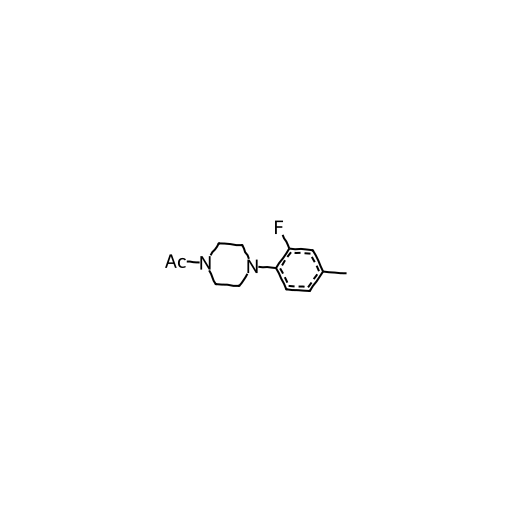 CC(=O)N1CCN(c2ccc(C)cc2F)CC1